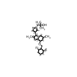 Cc1cc(OCc2c(F)cccc2F)c2nc(C)c(-c3cnn(CC(C)(C)O)c3)n2c1